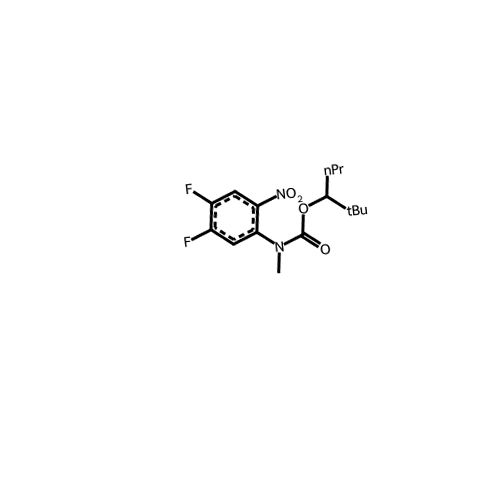 CCCC(OC(=O)N(C)c1cc(F)c(F)cc1[N+](=O)[O-])C(C)(C)C